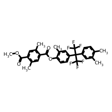 COC(=O)c1cc(C)c(C(=O)Oc2ccc(C(c3ccc(C)c(C)c3)(C(F)(F)F)C(F)(F)F)cc2C)cc1C